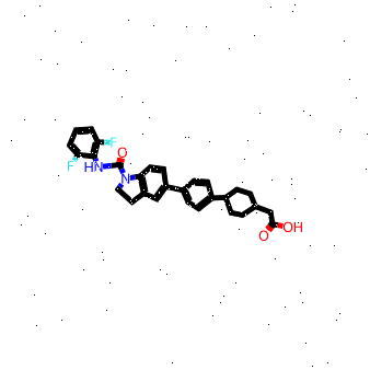 O=C(O)CC1CCC(c2ccc(-c3ccc4c(c3)CCN4C(=O)Nc3c(F)cccc3F)cc2)CC1